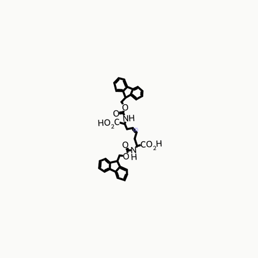 O=C(NC(C/C=C\CC(NC(=O)OCC1c2ccccc2-c2ccccc21)C(=O)O)C(=O)O)OCC1c2ccccc2-c2ccccc21